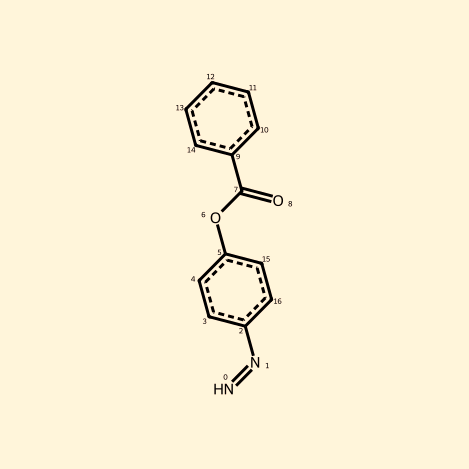 N=Nc1ccc(OC(=O)c2ccccc2)cc1